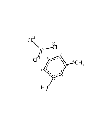 Cc1[c]c(C)ccc1.[Cl][V]([Cl])[Cl]